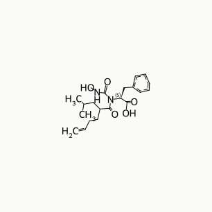 C=CCCC(CC(C)C)C(=O)N(C(=O)NO)[C@@H](Cc1ccccc1)C(=O)O